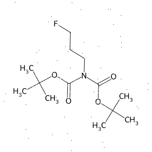 CC(C)(C)OC(=O)N(CCCF)C(=O)OC(C)(C)C